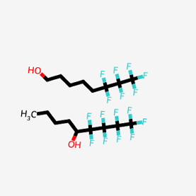 CCCCC(O)C(F)(F)C(F)(F)C(F)(F)C(F)(F)F.OCCCCCC(F)(F)C(F)(F)C(F)(F)F